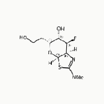 CNC1=N[C@@H]2[C@H](F)[C@@H](O)[C@@H](CCO)O[C@@H]2S1